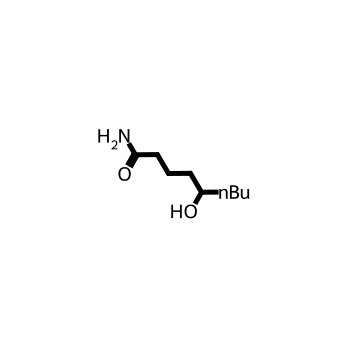 CCCCC(O)CCCC(N)=O